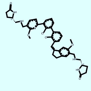 COc1cc2c(cc1CNC[C@@H]1CCC(=O)N1)CC/C2=C/c1cccc(-c2cccc(-c3ccc(CNC[C@@H]4CCC(=O)N4)c(OC)n3)c2Cl)c1Cl